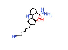 Cn1c2c(c3c(O)cc(CCCCCC#N)cc31)C(C(=O)NN)CCC2